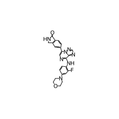 O=C1NCc2cc(-c3cnc(Nc4ccc(N5CCOCC5)cc4F)c4ncnn34)ccc21